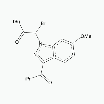 COc1ccc2c(C(=O)C(C)C)nn(C(Br)C(=O)C(C)(C)C)c2c1